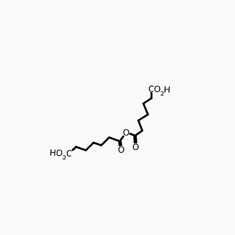 O=C(O)CCCCCC(=O)OC(=O)CCCCCC(=O)O